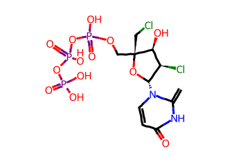 C=C1NC(=O)C=CN1[C@@H]1O[C@](CCl)(COP(=O)(O)OP(=O)(O)OP(=O)(O)O)[C@@H](O)[C@H]1Cl